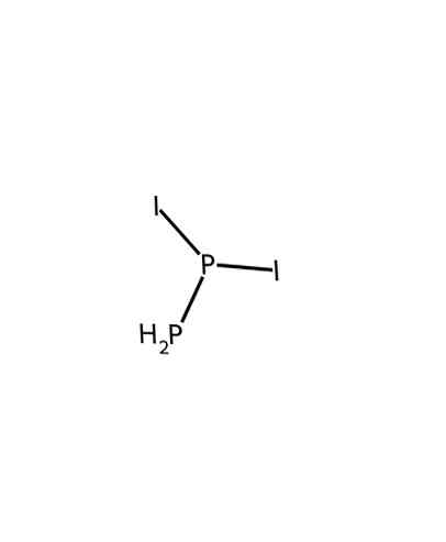 PP(I)I